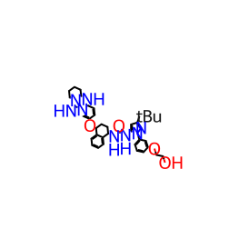 CC(C)(C)c1cc(NC(=O)N[C@H]2CC[C@@H](Oc3ccc(=N)n(C(=N)N4CCCCC4)c3)c3ccccc32)n(-c2cccc(OCCO)c2)n1